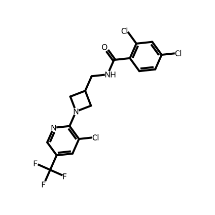 O=C(NCC1CN(c2ncc(C(F)(F)F)cc2Cl)C1)c1ccc(Cl)cc1Cl